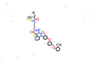 Cc1cc(Oc2cccc(COc3ccccc3C#N)c2)ccc1N1C(=O)Nc2c(C(=O)NCCCCN(CS)C(=O)/C(C#N)=C/C3CC3)sc3nccc1c23